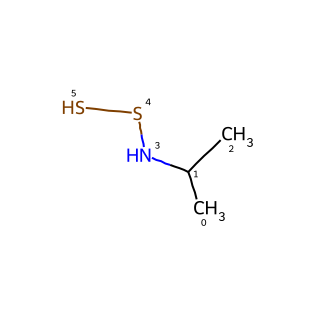 CC(C)NSS